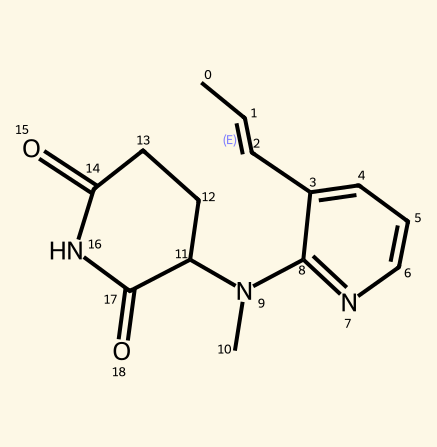 C/C=C/c1cccnc1N(C)C1CCC(=O)NC1=O